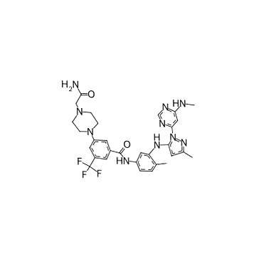 CNc1cc(-n2nc(C)cc2Nc2cc(NC(=O)c3cc(N4CCN(CC(N)=O)CC4)cc(C(F)(F)F)c3)ccc2C)ncn1